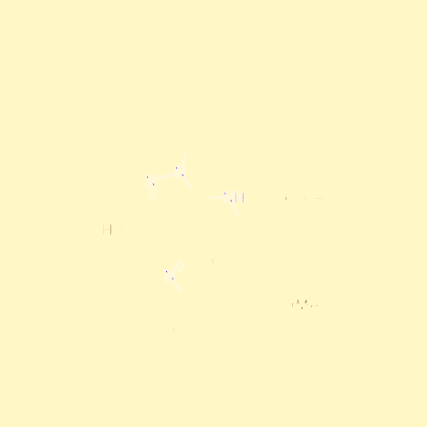 COc1ccc(Nc2c(-c3nc(C(F)(F)F)co3)c(C)nn2-c2ccccc2Cl)c(C(=O)O)c1